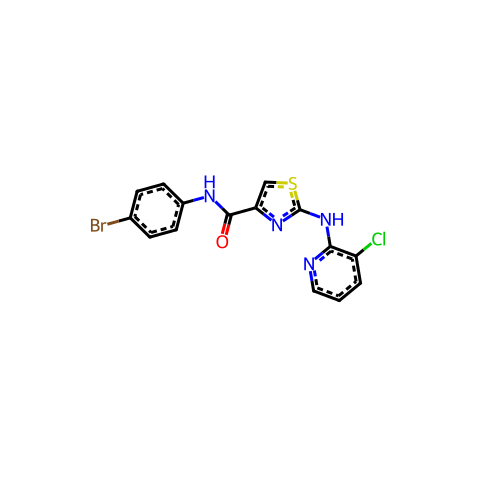 O=C(Nc1ccc(Br)cc1)c1csc(Nc2ncccc2Cl)n1